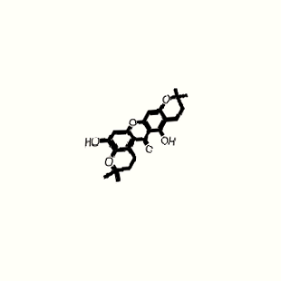 CC1(C)CCc2c(cc3oc4cc(O)c5c(c4c(=O)c3c2O)CCC(C)(C)O5)O1